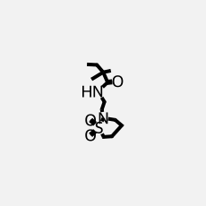 CCC(C)(C)C(=O)NCCN1CCCCS1(=O)=O